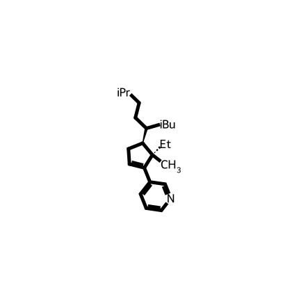 CCC(C)C(CCC(C)C)[C@@H]1CC=C(c2cccnc2)[C@@]1(C)CC